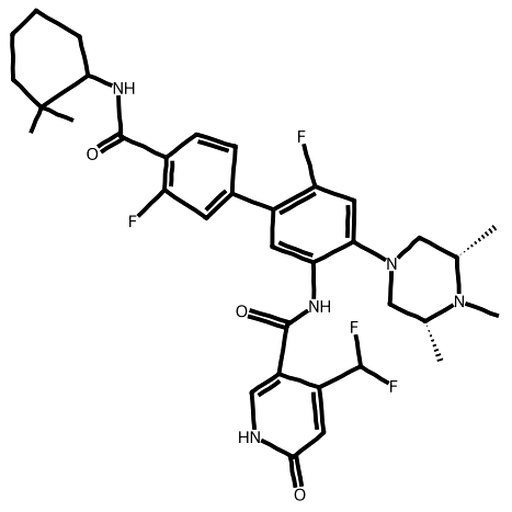 C[C@@H]1CN(c2cc(F)c(-c3ccc(C(=O)NC4CCCCC4(C)C)c(F)c3)cc2NC(=O)c2c[nH]c(=O)cc2C(F)F)C[C@H](C)N1C